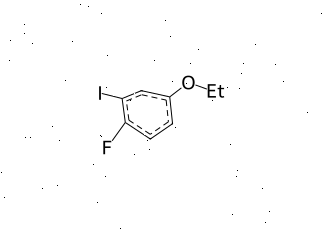 CCOc1ccc(F)c(I)c1